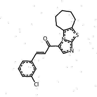 O=C(C=Cc1cccc(Cl)c1)c1cnc2sc3c(n12)CCCCC3